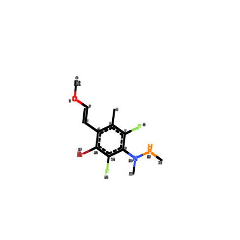 CCO/C=C/c1c(C)c(F)c(N(C)PC)c(F)c1Br